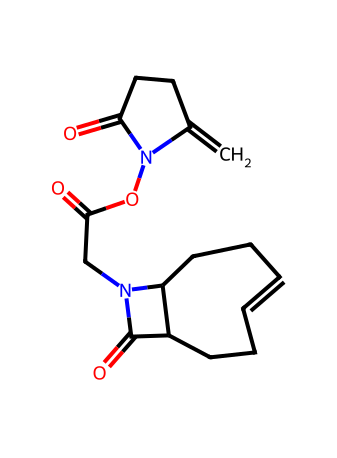 C=C1CCC(=O)N1OC(=O)CN1C(=O)C2CC/C=C/CCC21